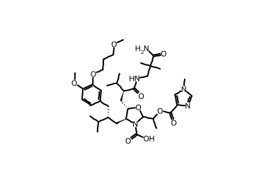 COCCCOc1cc(C[C@H](C[C@H]2[C@H](C[C@H](C(=O)NCC(C)(C)C(N)=O)C(C)C)OC(C(C)OC(=O)c3cn(C)cn3)N2C(=O)O)C(C)C)ccc1OC